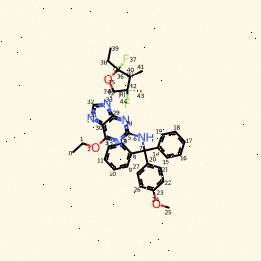 CCOc1nc(NC(c2ccccc2)(c2ccccc2)c2ccc(OC)cc2)nc2c1ncn2[C@@H]1O[C@](F)(CC)[C@@H](C)[C@@]1(C)F